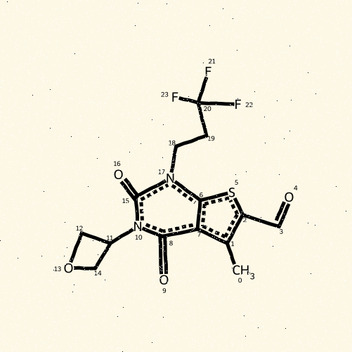 Cc1c(C=O)sc2c1c(=O)n(C1COC1)c(=O)n2CCC(F)(F)F